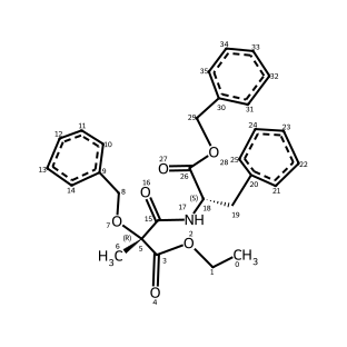 CCOC(=O)[C@](C)(OCc1ccccc1)C(=O)N[C@@H](Cc1ccccc1)C(=O)OCc1ccccc1